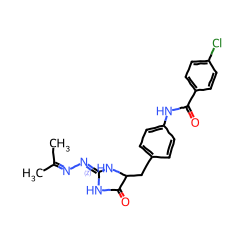 CC(C)=N/N=C1\NC(=O)C(Cc2ccc(NC(=O)c3ccc(Cl)cc3)cc2)N1